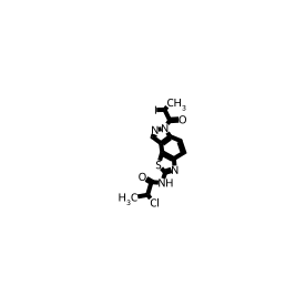 CC(Cl)C(=O)Nc1nc2ccc3c(cnn3C(=O)C(C)I)c2s1